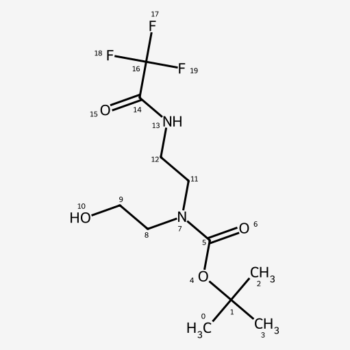 CC(C)(C)OC(=O)N(CCO)CCNC(=O)C(F)(F)F